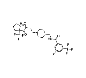 CN(CCN1CCC(CNC(=O)c2cc(F)cc(C(F)(F)F)c2)CC1)C(=O)C1(C(F)(F)F)CCCC1